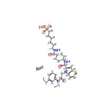 CCc1cccc(N(CC)C(=O)Cn2c(C(=O)NC3CCC(C(=O)NCCCCCCS(=O)(=O)O)CC3)cc3sccc32)c1.[NaH]